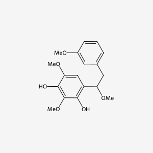 COc1cccc(CC(OC)c2cc(OC)c(O)c(OC)c2O)c1